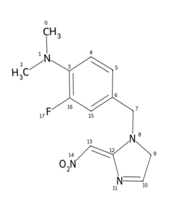 CN(C)c1ccc(CN2CC=NC2=C[N+](=O)[O-])cc1F